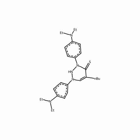 CCCCC1=CN(c2ccc(N(CC)CC)cc2)NN(c2ccc(N(CC)CC)cc2)C1=S